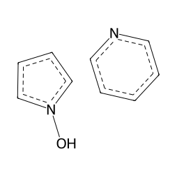 On1cccc1.c1ccncc1